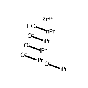 CC(C)[O-].CC(C)[O-].CC(C)[O-].CC(C)[O-].CCCO.[Zr+4]